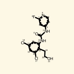 O=C(Nc1ccnc(F)c1)Nc1cc(Cl)cc(Cl)c1CCO